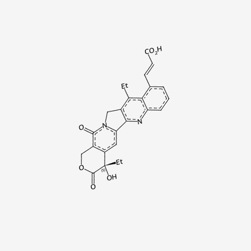 CCc1c2c(nc3cccc(C=CC(=O)O)c13)-c1cc3c(c(=O)n1C2)COC(=O)[C@]3(O)CC